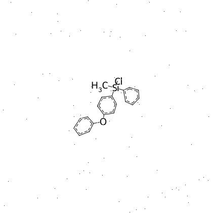 C[Si](Cl)(c1ccccc1)c1ccc(Oc2ccccc2)cc1